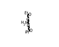 CCC(=O)CCOCC(N)COCCC(=O)C(C)C